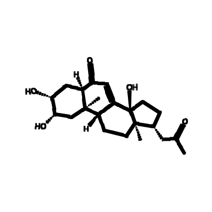 CC(=O)C[C@H]1CC[C@@]2(O)C3=CC(=O)[C@@H]4C[C@@H](O)[C@@H](O)C[C@]4(C)[C@H]3CC[C@]12C